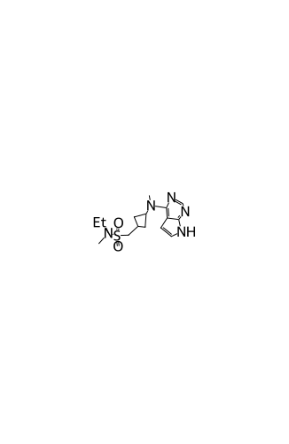 CCN(C)S(=O)(=O)CC1CC(N(C)c2ncnc3[nH]ccc23)C1